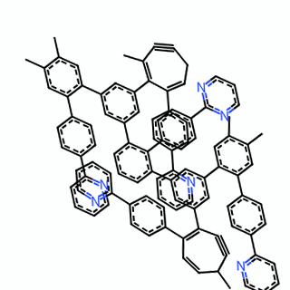 CC1=C(c2cc(-c3cc(C)c(C)cc3-c3ccc(-c4ccccn4)cc3)cc(-c3cccc(-c4cc(C5=C(c6ccc(-c7ccccn7)cc6)C=CC(C)C#C5)cc(-c5cc(C)c(C)cc5-c5ccc(-c6ccccn6)cc5)c4)c3-c3ccc(-c4ncccn4)cc3)c2)C(c2ccc(-c3ccccn3)cc2)=CCC#C1